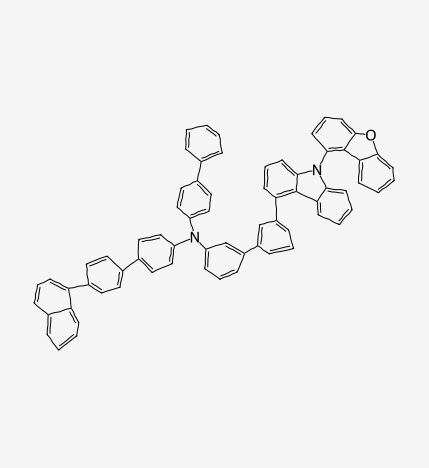 c1ccc(-c2ccc(N(c3ccc(-c4ccc(-c5cccc6ccccc56)cc4)cc3)c3cccc(-c4cccc(-c5cccc6c5c5ccccc5n6-c5cccc6oc7ccccc7c56)c4)c3)cc2)cc1